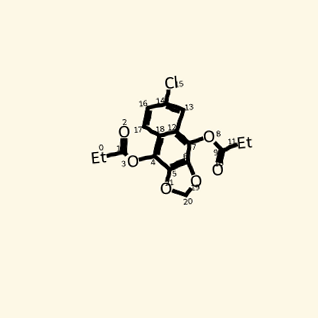 CCC(=O)Oc1c2c(c(OC(=O)CC)c3cc(Cl)ccc13)OCO2